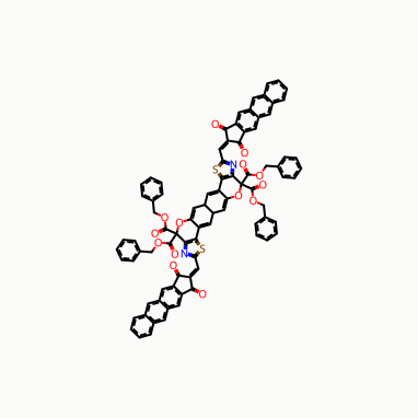 O=C1C(=Cc2nc3c(s2)C2=CC4C=C5OC(C(=O)OCc6ccccc6)(C(=O)OCc6ccccc6)c6nc(C=C7C(=O)c8cc9cc%10ccccc%10cc9cc8C7=O)sc6C5=CC4C=C2OC3(C(=O)OCc2ccccc2)C(=O)OCc2ccccc2)C(=O)c2cc3cc4ccccc4cc3cc21